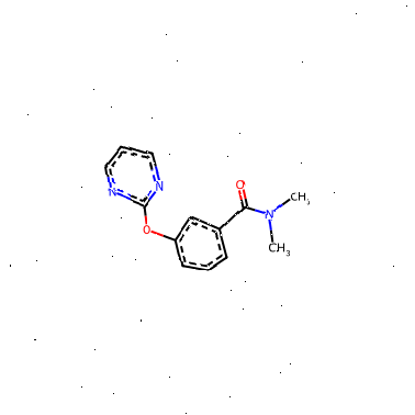 CN(C)C(=O)c1cccc(Oc2ncccn2)c1